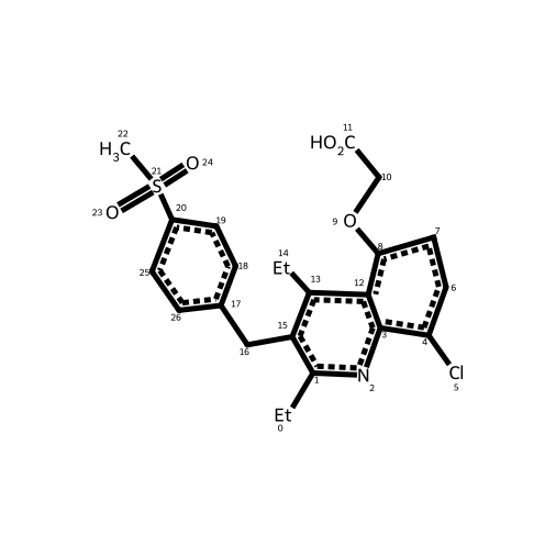 CCc1nc2c(Cl)ccc(OCC(=O)O)c2c(CC)c1Cc1ccc(S(C)(=O)=O)cc1